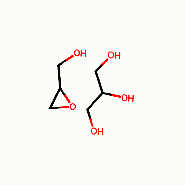 OCC(O)CO.OCC1CO1